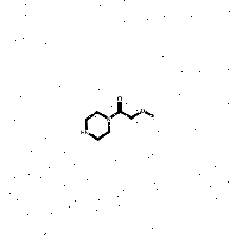 O=C(COI)N1CCNCC1